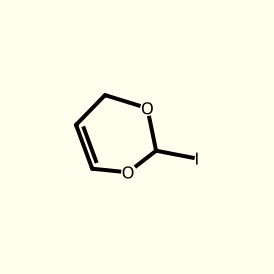 IC1OC=CCO1